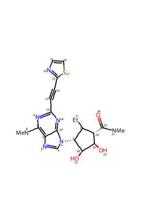 CCC1[C@@H](n2cnc3c(NC)nc(C#Cc4nccs4)nc32)[C@H](O)[C@H](O)[C@H]1C(=O)NC